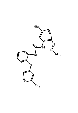 CC(C)(C)c1ccc(N=NN)c(NC(=S)Nc2cccnc2Oc2cccc(C(F)(F)F)c2)c1